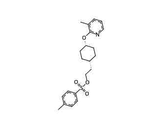 Cc1ccc(S(=O)(=O)OCC[C@H]2CC[C@@H](Oc3ncccc3C)CC2)cc1